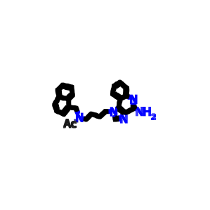 CC(=O)N(CCCCn1cnc2c(N)nc3ccccc3c21)Cc1cccc2ccccc12